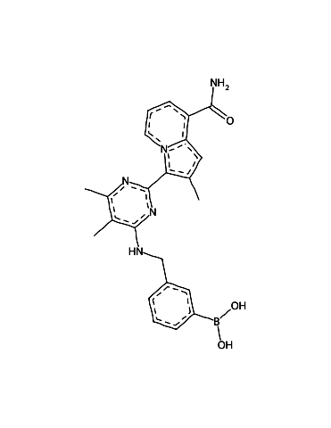 Cc1cc2c(C(N)=O)cccn2c1-c1nc(C)c(C)c(NCc2cccc(B(O)O)c2)n1